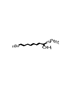 CCCCC=CCC=CC=CC(O)CCCCC